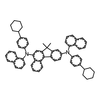 CC1(C)c2cc(N(c3ccc(C4CCCCC4)cc3)c3cccc4ccccc34)ccc2-c2c1cc(N(c1ccc(C3CCCCC3)cc1)c1cccc3ccccc13)c1ccccc21